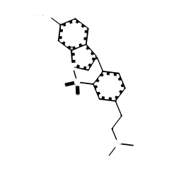 COc1ccc2c3cn(c2c1)S(=O)(=O)c1cc(CCN(C)C)ccc1-3